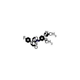 COc1cc(/C=C2\OCCN3C2=NC(=O)CCN3c2ccc(F)cc2)ccc1-n1cnc(C)c1